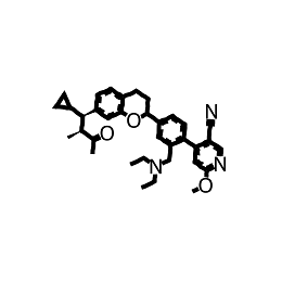 CCN(CC)Cc1cc(C2CCc3ccc([C@H](C4CC4)[C@H](C)C(C)=O)cc3O2)ccc1-c1cc(OC)ncc1C#N